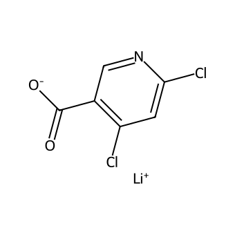 O=C([O-])c1cnc(Cl)cc1Cl.[Li+]